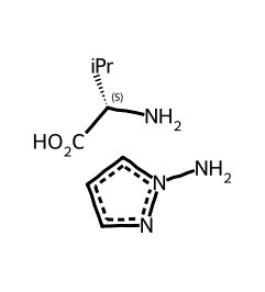 CC(C)[C@H](N)C(=O)O.Nn1cccn1